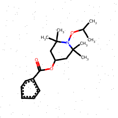 CC(C)ON1C(C)(C)CC(OC(=O)c2ccccc2)CC1(C)C